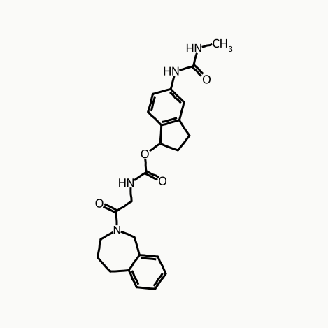 CNC(=O)Nc1ccc2c(c1)CCC2OC(=O)NCC(=O)N1CCCc2ccccc2C1